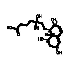 C[C@@H]1C=CC2=C[C@@H](O)C[C@H](O)[C@@H]2[C@H]1CCC(O)(O)CCCC(=O)O